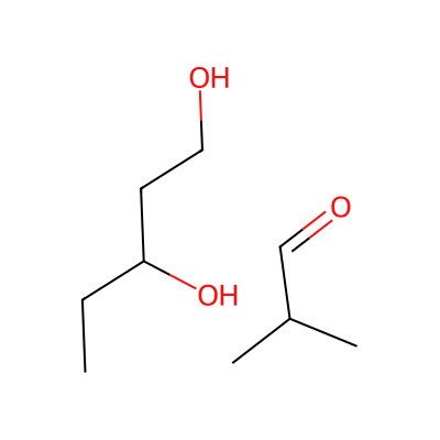 CC(C)C=O.CCC(O)CCO